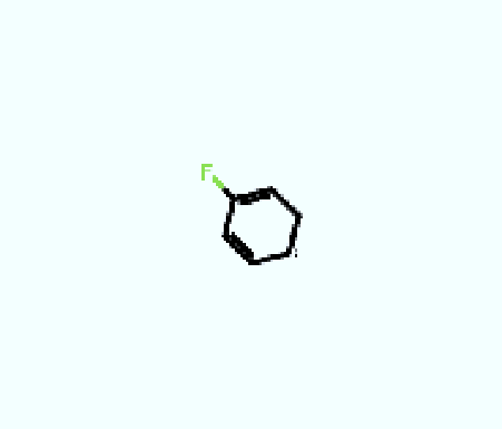 FC1=CC[C]C=C1